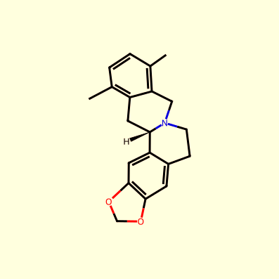 Cc1ccc(C)c2c1C[C@H]1c3cc4c(cc3CCN1C2)OCO4